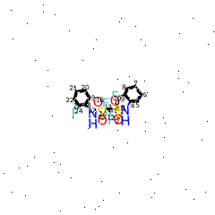 O=S(=O)(Nc1ccccc1F)C(F)(F)S(=O)(=O)Nc1ccccc1F